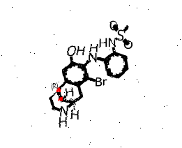 CS(=O)(=O)Nc1ccccc1Nc1c(O)cc2c(c1Br)C[C@H]1NCC[C@@]23CCCC[C@@H]13